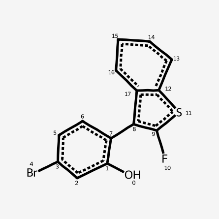 Oc1cc(Br)ccc1-c1c(F)sc2ccccc12